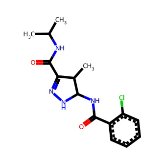 CC(C)NC(=O)C1=NNC(NC(=O)c2ccccc2Cl)C1C